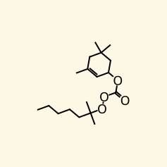 CCCCCC(C)(C)OOC(=O)OC1C=C(C)CC(C)(C)C1